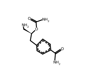 NC[C@H](Cc1ccc(C(N)=O)cc1)OC(N)=O